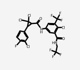 O=C(NCC(F)(F)F)c1cc(NC(=O)C2C(c3ccc(F)c(Cl)c3)C2(Cl)Cl)cc(C(F)(F)F)c1Cl